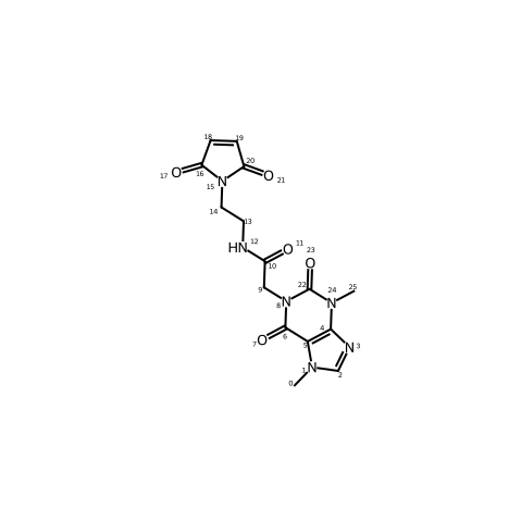 Cn1cnc2c1c(=O)n(CC(=O)NCCN1C(=O)C=CC1=O)c(=O)n2C